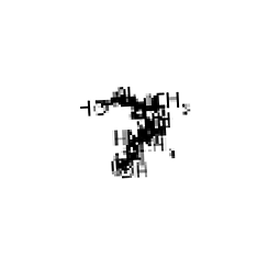 CNC(=O)c1nc(-c2cnn(CCCO)c2)ccc1Nc1nc(Nc2ccc(CP(=O)(O)O)cc2C)ncc1C(F)(F)F